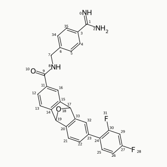 N=C(N)c1ccc(CNC(=O)c2ccc3c(c2)C2OC3c3ccc(-c4ccc(F)cc4F)cc32)cc1